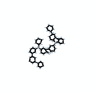 c1ccc(-c2cccc(-c3cccc(N(c4ccccc4)c4ccc5oc6ccc(-n7c8ccccc8c8cc(-c9ccccc9)ccc87)cc6c5c4)c3)c2)cc1